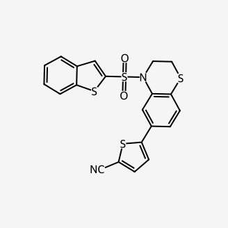 N#Cc1ccc(-c2ccc3c(c2)N(S(=O)(=O)c2cc4ccccc4s2)CCS3)s1